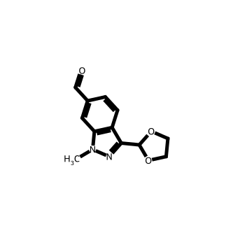 Cn1nc(C2OCCO2)c2ccc(C=O)cc21